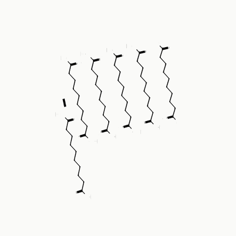 C=C.O=C(O)CCCCCCCCC(=O)O.O=C(O)CCCCCCCCC(=O)O.O=C(O)CCCCCCCCC(=O)O.O=C(O)CCCCCCCCC(=O)O.O=C(O)CCCCCCCCC(=O)O.O=C(O)CCCCCCCCC(=O)O